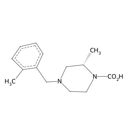 Cc1ccccc1CN1CCN(C(=O)O)[C@@H](C)C1